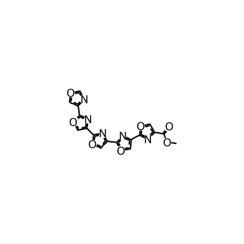 COC(=O)c1coc(-c2coc(-c3coc(-c4coc(-c5cocn5)n4)n3)n2)n1